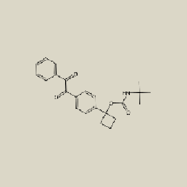 CC(C)(C)NC(=O)OC1(c2ccc(C(=O)C(=O)c3ccccc3)cc2)CCC1